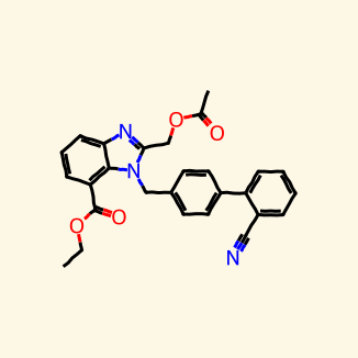 CCOC(=O)c1cccc2nc(COC(C)=O)n(Cc3ccc(-c4ccccc4C#N)cc3)c12